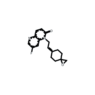 O=c1ccc2ncc(F)cc2n1CC=C1CCC2(CC1)CO2